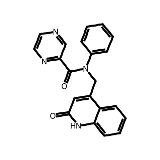 O=C(c1cnccn1)N(Cc1cc(=O)[nH]c2ccccc12)c1ccccc1